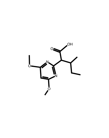 CCC(C)C(C(=O)O)c1nc(OC)cc(OC)n1